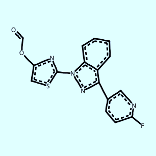 O=COc1csc(-n2nc(-c3ccc(F)nc3)c3ccccc32)n1